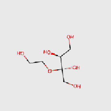 OCCO[C@](O)(CO)[C@@H](O)CO